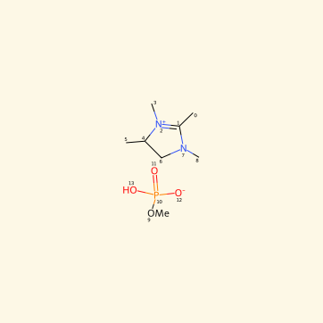 CC1=[N+](C)C(C)CN1C.COP(=O)([O-])O